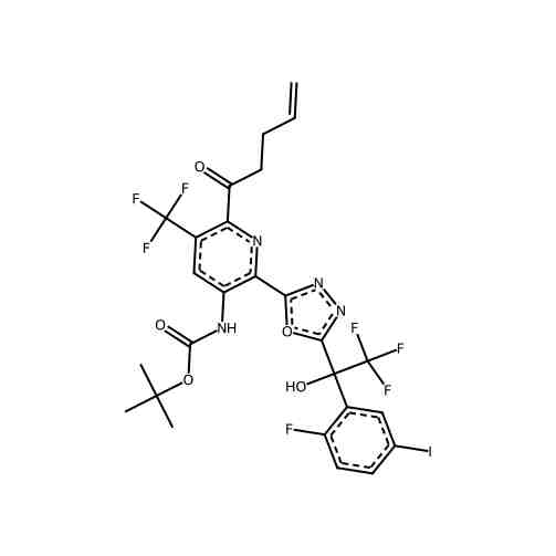 C=CCCC(=O)c1nc(-c2nnc(C(O)(c3cc(I)ccc3F)C(F)(F)F)o2)c(NC(=O)OC(C)(C)C)cc1C(F)(F)F